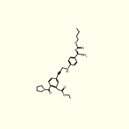 CCCCOC(=O)N=C(N)c1ccc(NCC#Cc2ccc(C(=O)N3CCCC3)c(CC(=O)OCC)c2)cc1